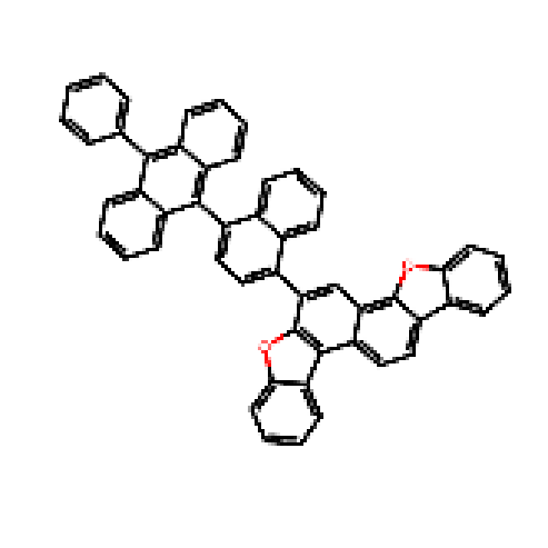 c1ccc(-c2c3ccccc3c(-c3ccc(-c4cc5c(ccc6c7ccccc7oc65)c5c4oc4ccccc45)c4ccccc34)c3ccccc23)cc1